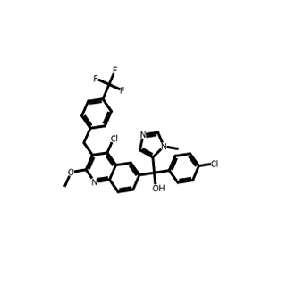 COc1nc2ccc(C(O)(c3ccc(Cl)cc3)c3cncn3C)cc2c(Cl)c1Cc1ccc(C(F)(F)F)cc1